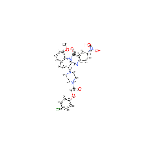 CCOc1ccccc1-n1c(C(C)N2CCN(C(=O)COc3ccc(Cl)cc3)CC2)nc2ccc(N(O)O)cc2c1=O